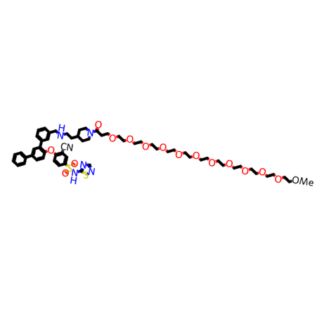 COCCOCCOCCOCCOCCOCCOCCOCCOCCOCCOCCOCCC(=O)N1CCC(CCNCc2cccc(-c3cc(-c4ccccc4)ccc3Oc3ccc(S(=O)(=O)Nc4ncns4)cc3C#N)c2)CC1